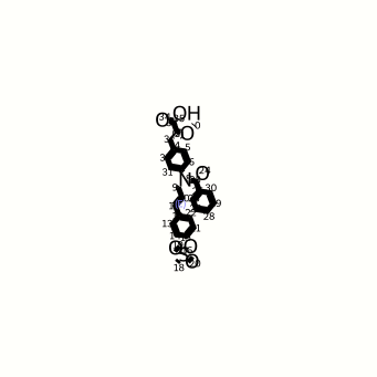 CO[C@@H](Cc1ccc(N(C/C=C/c2ccc(OS(C)(=O)=O)cc2)C(=O)c2ccccc2)cc1)C(=O)O